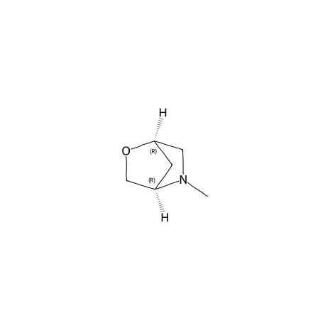 CN1C[C@H]2C[C@@H]1CO2